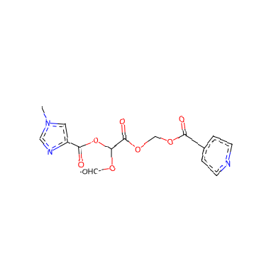 Cn1cnc(C(=O)OC(O[C]=O)C(=O)OCOC(=O)c2ccncc2)c1